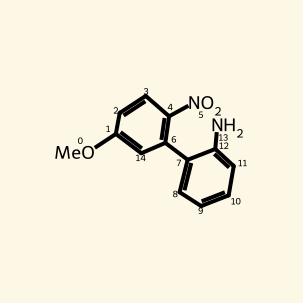 COc1ccc([N+](=O)[O-])c(-c2ccccc2N)c1